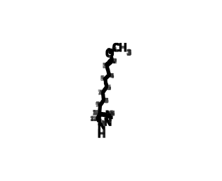 COC=CCCCCCCc1c[nH]nn1